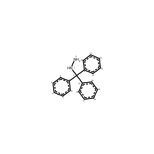 NNC(c1ccccc1)(c1ccccc1)c1ccccc1